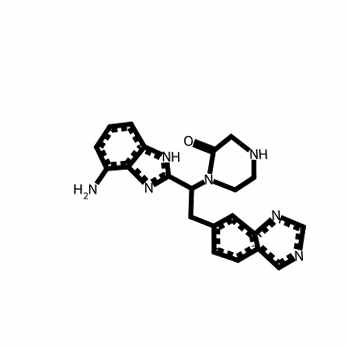 Nc1cccc2[nH]c(C(Cc3ccc4cncnc4c3)N3CCNCC3=O)nc12